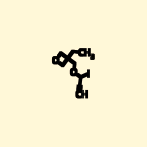 C#CC(I)OCC1(CC)COC1